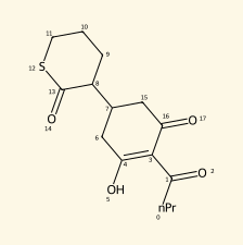 CCCC(=O)C1=C(O)CC(C2CCCSC2=O)CC1=O